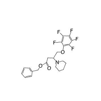 O=C(CC(COc1c(F)c(F)c(F)c(F)c1F)N1CCCCC1)OCc1ccccc1